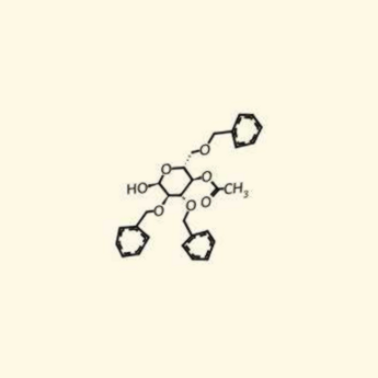 CC(=O)O[C@H]1[C@H](OCc2ccccc2)[C@@H](OCc2ccccc2)[C@@H](O)O[C@@H]1COCc1ccccc1